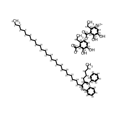 CCCCCCCCCCCCCCCCCCCCCCCCCCC(=Nc1ccccc1)C(CCCCC)=Nc1ccccc1.CCc1ccc(O)c(O)c1C(=O)[O-].CCc1ccc(O)c(O)c1C(=O)[O-].[Ni+2]